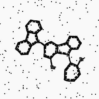 Brc1ccccc1-n1c2ccccc2c2cc(-n3c4ccccc4c4ccccc43)cc(Br)c21